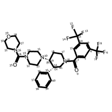 O=C(c1cc(C(F)(F)F)cc(C(F)(F)F)c1)N1CC[C@@H](N2CCN(C(=O)N3CCOCC3)CC2)[C@@H](c2ccccc2)C1